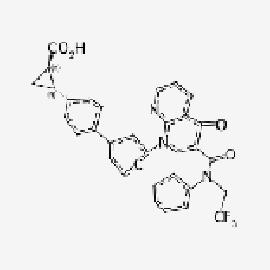 O=C(O)[C@@H]1C[C@H]1c1ccc(-c2cccc(-n3cc(C(=O)N(CC(F)(F)F)c4ccccc4)c(=O)c4cccnc43)c2)cc1